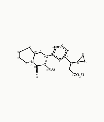 CCOC(=O)CC(c1ccnc(OCC2CCCCN2C(=O)OC(C)(C)C)c1)C1CC1